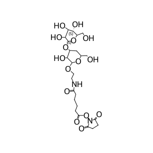 O=C(CCCCC(=O)ON1C(=O)CCC1=O)NCCOC1OC(CO)CC(O[C@H]2OC(CO)[C@@H](O)C(O)C2O)C1O